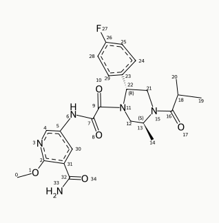 COc1ncc(NC(=O)C(=O)N2C[C@H](C)N(C(=O)C(C)C)C[C@H]2c2ccc(F)cc2)cc1C(N)=O